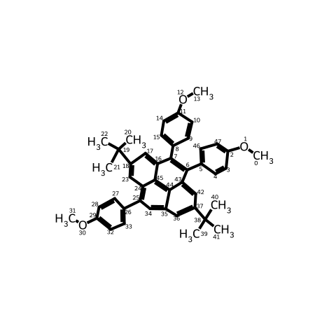 COc1ccc(-c2c(-c3ccc(OC)cc3)c3cc(C(C)(C)C)cc4c(-c5ccc(OC)cc5)cc5cc(C(C)(C)C)cc2c5c43)cc1